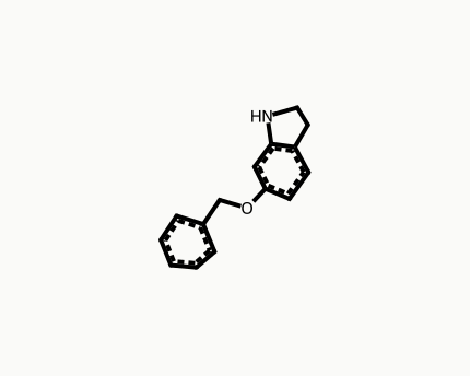 c1ccc(COc2ccc3c(c2)NCC3)cc1